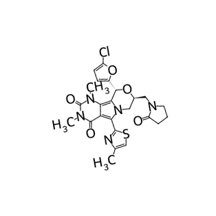 Cc1csc(-c2c3c(=O)n(C)c(=O)n(C)c3c3n2C[C@H](CN2CCCC2=O)O[C@H]3c2ccc(Cl)o2)n1